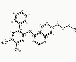 Cc1cc(Oc2ccnc3cc(OCCO)ccc23)c(-c2ccccn2)nc1C